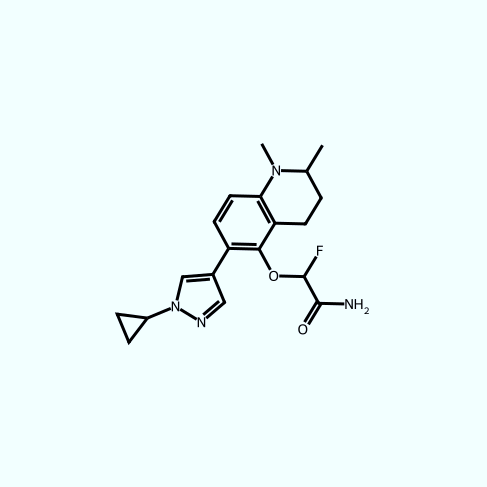 CC1CCc2c(ccc(-c3cnn(C4CC4)c3)c2OC(F)C(N)=O)N1C